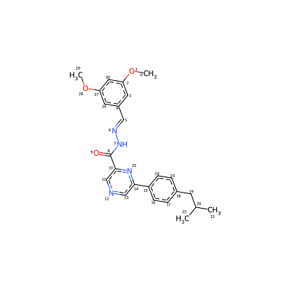 COc1cc(/C=N/NC(=O)c2cncc(-c3ccc(CC(C)C)cc3)n2)cc(OC)c1